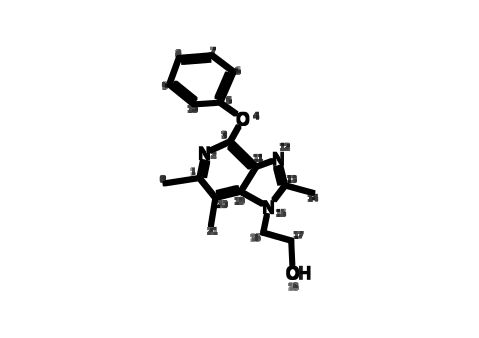 Cc1nc(Oc2ccccc2)c2nc(C)n(CCO)c2c1C